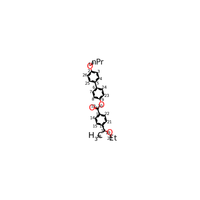 CCCOc1ccc(-c2ccc(OC(=O)c3ccc(C(C)OCC)cc3)cc2)cc1